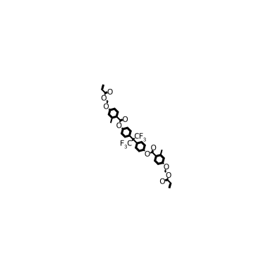 C=CC(=O)OCOc1ccc(C(=O)Oc2ccc(C(c3ccc(OC(=O)c4ccc(OCOC(=O)C=C)cc4C)cc3)(C(F)(F)F)C(F)(F)F)cc2)c(C)c1